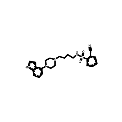 N#Cc1ccccc1S(=O)(=O)NCCCCN1CCN(c2cccc3[nH]ccc23)CC1